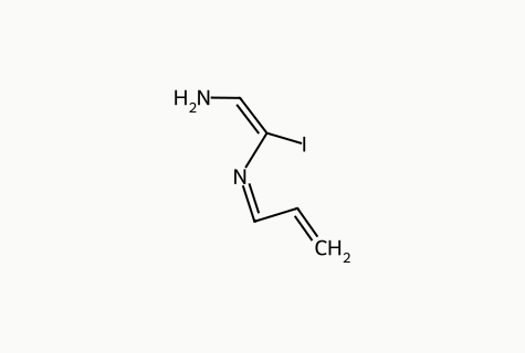 C=C/C=N\C(I)=C/N